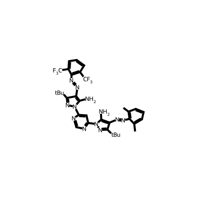 Cc1cccc(C)c1/N=N/c1c(C(C)(C)C)nn(-c2cc(-n3nc(C(C)(C)C)c(/N=N/c4c(C(F)(F)F)cccc4C(F)(F)F)c3N)ncn2)c1N